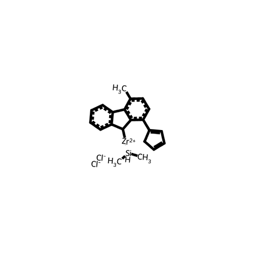 Cc1ccc(C2=CC=CC2)c2c1-c1ccccc1[CH]2[Zr+2][SiH](C)C.[Cl-].[Cl-]